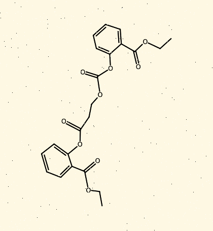 CCOC(=O)c1ccccc1OC(=O)CCOC(=O)Oc1ccccc1C(=O)OCC